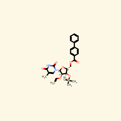 C=CO[C@@H]1[C@H](O[Si](C)(C)C)[C@@H](COC(=O)c2ccc(-c3ccccc3)cc2)O[C@H]1n1cc(C)c(=O)[nH]c1=O